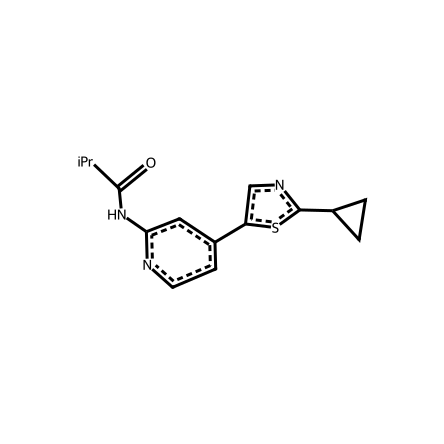 CC(C)C(=O)Nc1cc(-c2cnc(C3CC3)s2)ccn1